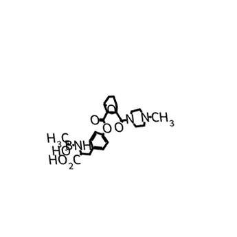 CB(O)NC(Cc1ccc(OC(=O)C2C3CCC(O3)C2C(=O)N2CCN(C)CC2)cc1)C(=O)O